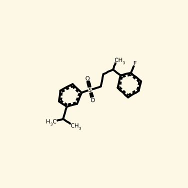 CC(C)c1cccc(S(=O)(=O)CCC(C)c2ccccc2F)c1